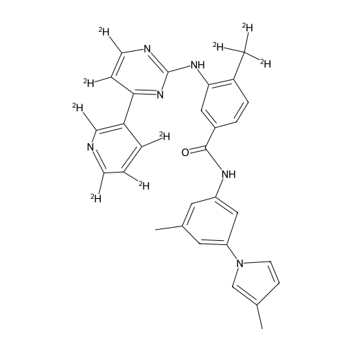 [2H]c1nc(Nc2cc(C(=O)Nc3cc(C)cc(-n4ccc(C)c4)c3)ccc2C([2H])([2H])[2H])nc(-c2c([2H])nc([2H])c([2H])c2[2H])c1[2H]